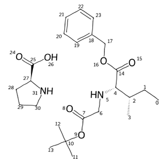 CC[C@H](C)[C@H](NCC(=O)OC(C)(C)C)C(=O)OCc1ccccc1.O=C(O)[C@@H]1CCCN1